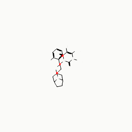 Cc1c(C)n(C)c(=O)n(CCCN2C3CCC2CC(OCc2ccccc2F)C3)c1=O